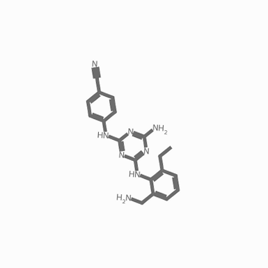 CCc1cccc(CN)c1Nc1nc(N)nc(Nc2ccc(C#N)cc2)n1